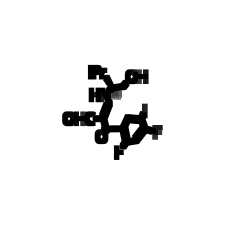 CC(C)[C@@H](CO)NC=C(C=O)C(=O)c1cc(I)c(F)cc1F